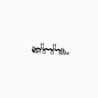 C/N=C(/CCNC(=O)CCCC(=O)NCCc1ncc[nH]1)NC